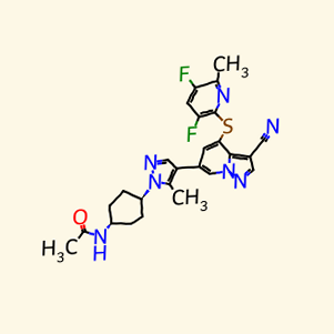 CC(=O)N[C@H]1CC[C@@H](n2ncc(-c3cc(Sc4nc(C)c(F)cc4F)c4c(C#N)cnn4c3)c2C)CC1